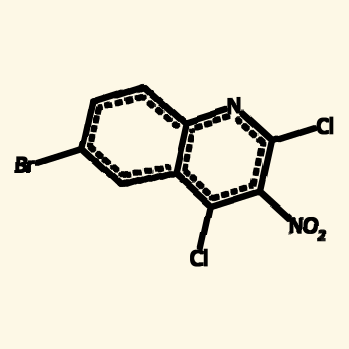 O=[N+]([O-])c1c(Cl)nc2ccc(Br)cc2c1Cl